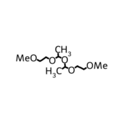 COCCOC(C)OC(C)OCCOC